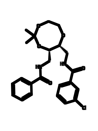 CC1(C)OCCO[C@H](CNC(=O)c2cccc(Cl)c2)[C@H](CNC(=O)c2ccccc2)O1